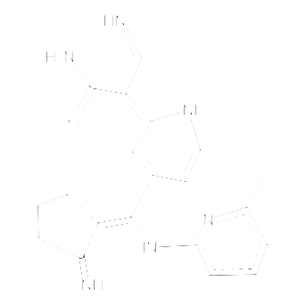 Cc1cccc(N/C(C2=C/C(=C(/C=N)C(N)=O)NC=C2)=C2/CCCC2=N)n1